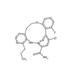 CCCc1nccc2c1Nc1nc(c(Cl)cc1C(N)=O)-c1c(F)cccc1OCC2